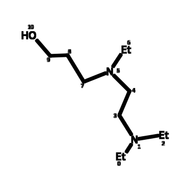 CCN(CC)CCN(CC)CCCO